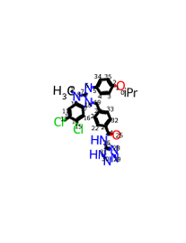 CC(C)Oc1ccc(N=c2n(C)c3cc(Cl)c(Cl)cc3n2Cc2ccc(C(=O)Nc3nnn[nH]3)cc2)cc1